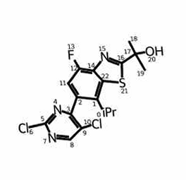 CC(C)c1c(-c2nc(Cl)ncc2Cl)cc(F)c2nc(C(C)(C)O)sc12